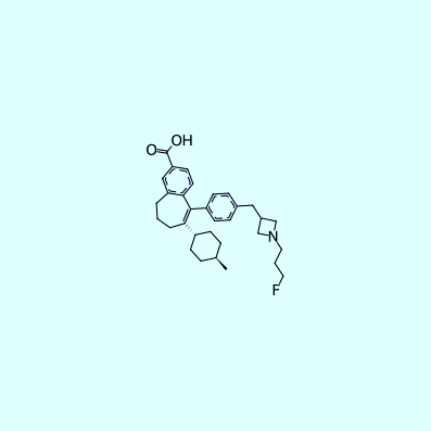 C[C@H]1CC[C@H](C2=C(c3ccc(CC4CN(CCCF)C4)cc3)c3ccc(C(=O)O)cc3CCC2)CC1